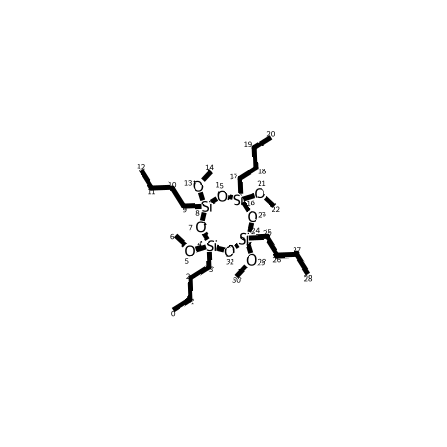 CCCC[Si]1(OC)O[Si](CCCC)(OC)O[Si](CCCC)(OC)O[Si](CCCC)(OC)O1